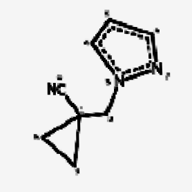 N#CC1(Cn2cccn2)CC1